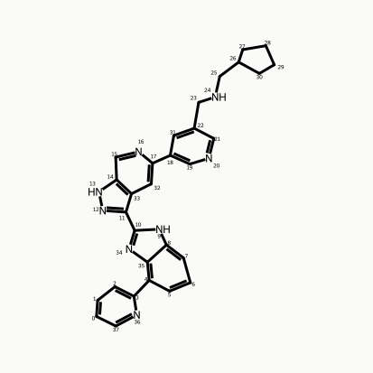 c1ccc(-c2cccc3[nH]c(-c4n[nH]c5cnc(-c6cncc(CNCC7CCCC7)c6)cc45)nc23)nc1